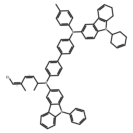 CC/C=C(C)\C=C/C(C)N(c1ccc(-c2ccc(N(c3ccc(C)cc3)c3ccc4c(c3)c3c(n4C4CC=CCC4)CCC=C3)cc2)cc1)c1ccc2c(c1)c1ccccc1n2-c1ccccc1